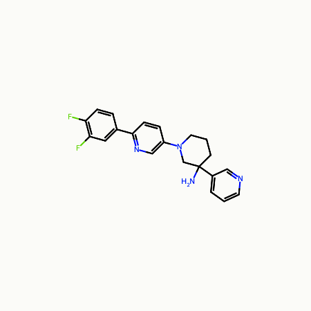 NC1(c2cccnc2)CCCN(c2ccc(-c3ccc(F)c(F)c3)nc2)C1